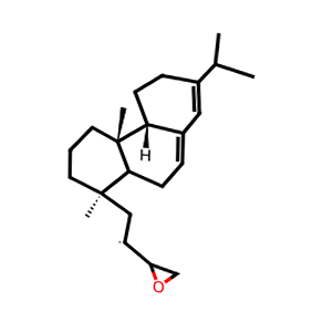 CC(C)C1=CC2=CCC3[C@@](C)(C[CH]C4CO4)CCC[C@]3(C)[C@@H]2CC1